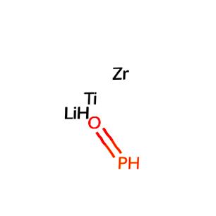 O=P.[LiH].[Ti].[Zr]